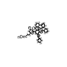 CCCCCCCCCCC=Cc1cc(=O)c(OCc2ccccc2)c(-c2cc(OCc3ccccc3)c(OCc3ccccc3)c(OCc3ccccc3)c2)o1